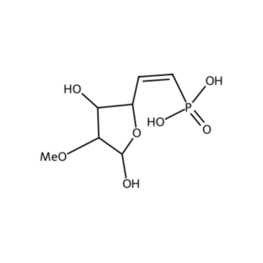 COC1C(O)OC(/C=C\P(=O)(O)O)C1O